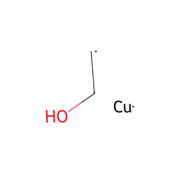 [CH2]CO.[Cu]